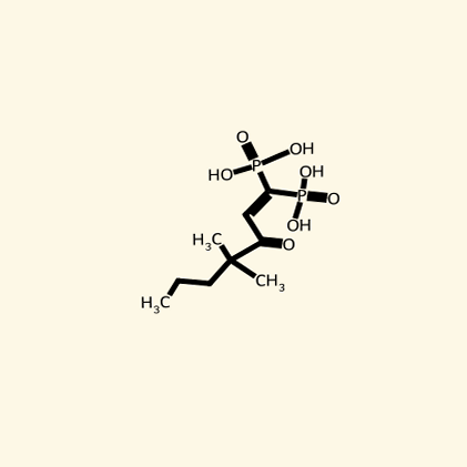 CCCC(C)(C)C(=O)C=C(P(=O)(O)O)P(=O)(O)O